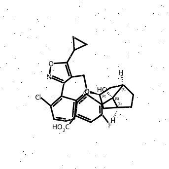 O=C(O)c1ccc([C@@]2(O)[C@@H]3CC[C@H]2C[C@@H](OCc2c(-c4c(Cl)cccc4Cl)noc2C2CC2)C3)c(F)c1